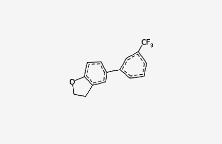 FC(F)(F)c1cccc(-c2ccc3c(c2)CCO3)c1